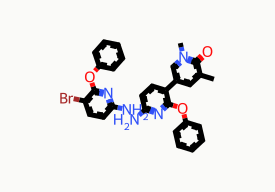 Cc1cc(-c2ccc(N)nc2Oc2ccccc2)cn(C)c1=O.Nc1ccc(Br)c(Oc2ccccc2)n1